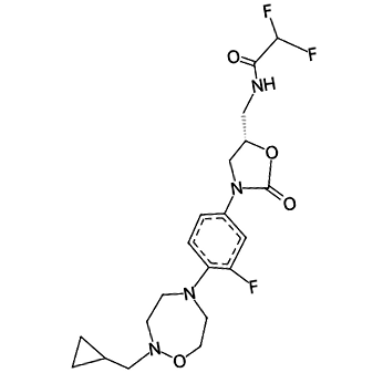 O=C(NC[C@H]1CN(c2ccc(N3CCON(CC4CC4)CC3)c(F)c2)C(=O)O1)C(F)F